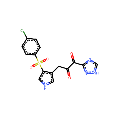 O=C(Cc1c[nH]cc1S(=O)(=O)c1ccc(Cl)cc1)C(=O)c1nc[nH]n1